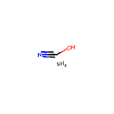 N#CO.[SiH4]